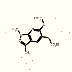 CCOC(=O)Oc1cc2c(C)nn(C)c2nc1OC(=O)OCC